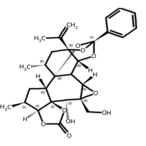 C=C(C)[C@]12C[C@@H](C)[C@@]34O[C@](c5ccccc5)(O[C@@H]1C3[C@@H]1O[C@]1(CO)[C@@H](O)[C@]13OC(=O)O[C@H]1[C@@H](C)C[C@H]43)O2